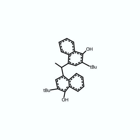 CC(c1cc(C(C)(C)C)c(O)c2ccccc12)c1cc(C(C)(C)C)c(O)c2ccccc12